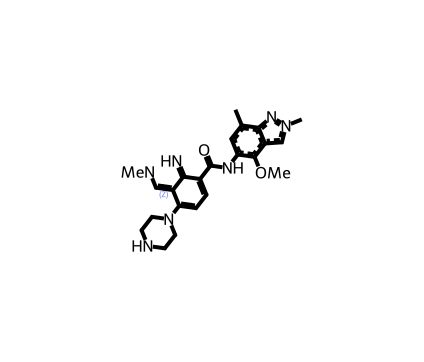 CN/C=C1\C(=N)C(C(=O)Nc2cc(C)c3nn(C)cc3c2OC)=CC=C1N1CCNCC1